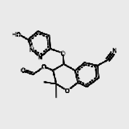 CC1(C)Oc2ccc(C#N)cc2C(Oc2ccc(O)nn2)C1OC=O